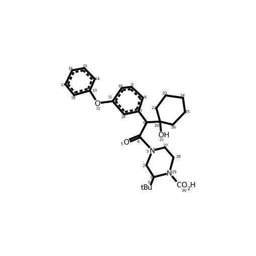 CC(C)(C)C1CN(C(=O)C(c2cccc(Oc3ccccc3)c2)C2(O)CCCCC2)CCN1C(=O)O